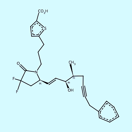 C[C@@H](CC#CCc1ccccc1)[C@@H](O)C=C[C@H]1CC(F)(F)C(=O)N1CCCc1ccc(C(=O)O)s1